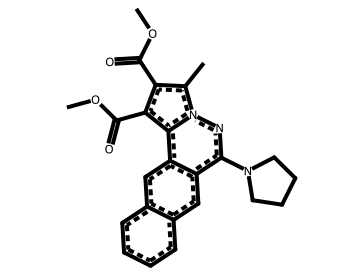 COC(=O)c1c(C(=O)OC)c2c3cc4ccccc4cc3c(N3CCCC3)nn2c1C